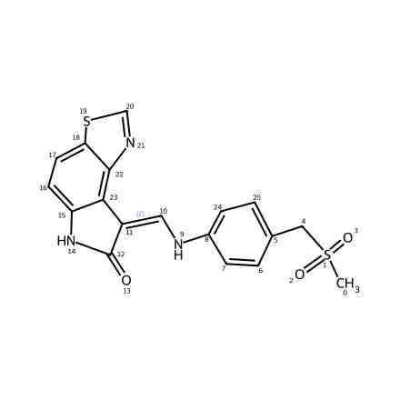 CS(=O)(=O)Cc1ccc(N/C=C2\C(=O)Nc3ccc4scnc4c32)cc1